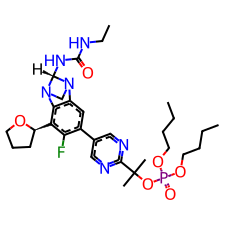 CCCCOP(=O)(OCCCC)OC(C)(C)c1ncc(-c2cc3c(c([C@H]4CCCO4)c2F)N2CN3[C@H]2NC(=O)NCC)cn1